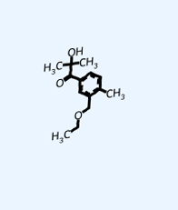 CCOCc1cc(C(=O)C(C)(C)O)ccc1C